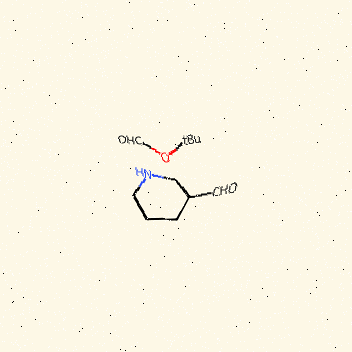 CC(C)(C)OC=O.O=CC1CCCNC1